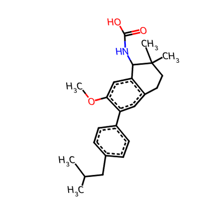 COc1cc2c(cc1-c1ccc(CC(C)C)cc1)CCC(C)(C)C2NC(=O)O